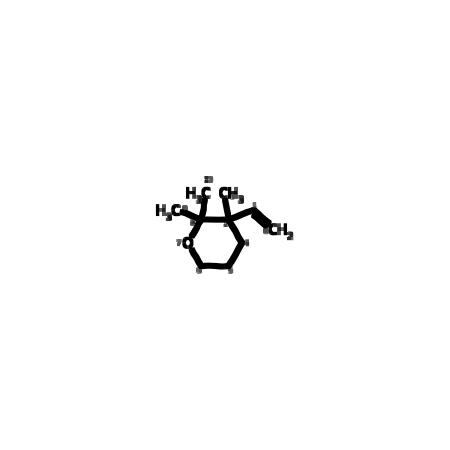 C=CC1(C)CCCOC1(C)C